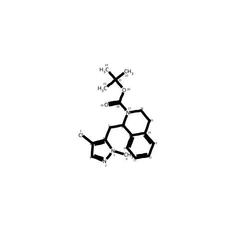 Cn1ncc(Cl)c1CC1c2ccccc2CCN1C(=O)OC(C)(C)C